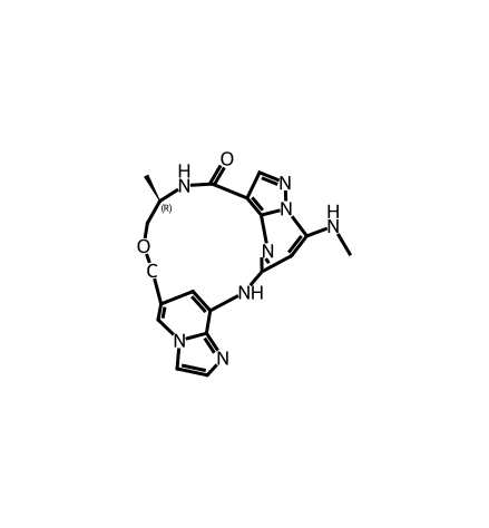 CNc1cc2nc3c(cnn13)C(=O)N[C@H](C)COCc1cc(c3nccn3c1)N2